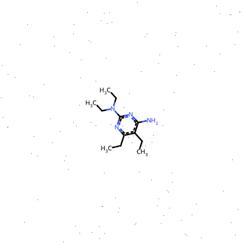 CCc1nc(N(CC)CC)nc(N)c1CC